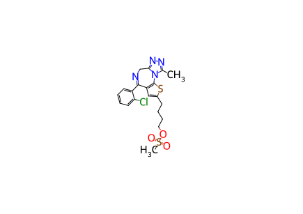 Cc1nnc2n1-c1sc(CCCCOS(C)(=O)=O)cc1C(c1ccccc1Cl)=NC2